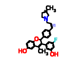 CC1=C(c2cc(O)cc(F)c2)C(c2ccc(/C=C\CN3CC[C@@H](C)C3)cc2)Oc2ccc(O)cc21